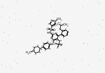 CC(C)Cc1ccccc1-c1nc(NS(=O)(=O)c2cnn(C)c2)nc(Oc2ccc(C3CCN(C)CC3)cc2)c1CC(F)(F)F